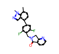 Cc1ccc(-c2cc(F)c(CN3Cc4ncccc4C3=O)c(F)c2)c2cnn(C)c12